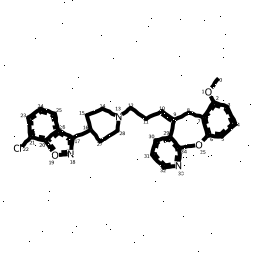 COc1cccc2c1C/C(=C/CCN1CCC(c3noc4c(Cl)cccc34)CC1)c1cccnc1O2